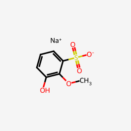 COc1c(O)cccc1S(=O)(=O)[O-].[Na+]